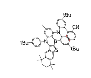 Cc1cc2c3c(c1)N(c1ccc(C(C)(C)C)cc1)c1c(sc4cc5c(cc14)C(C)(C)CCC5(C)C)B3c1cc(C(C)(C)C)ccc1N2c1ccc(C(C)(C)C)cc1-c1ccccc1C#N